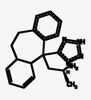 C[C@H](N)CC1(c2nn[nH]n2)c2ccccc2CCC2C=CC=CC21